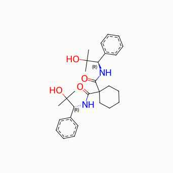 CC(C)(O)[C@H](NC(=O)C1(C(=O)N[C@H](c2ccccc2)C(C)(C)O)CCCCC1)c1ccccc1